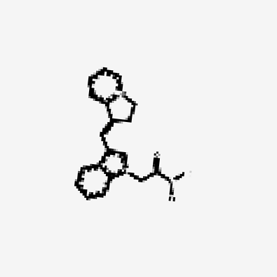 CCN(CC)C(=O)Cn1cc(/C=C2\CC[n+]3ccccc32)c2ccccc21